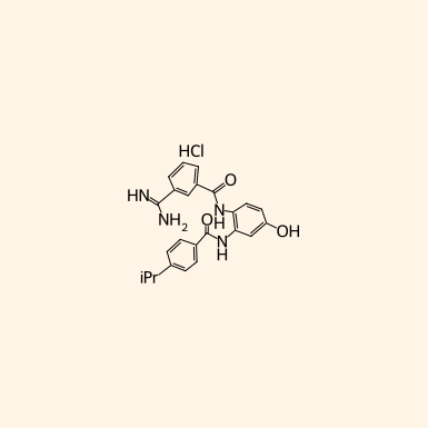 CC(C)c1ccc(C(=O)Nc2cc(O)ccc2NC(=O)c2cccc(C(=N)N)c2)cc1.Cl